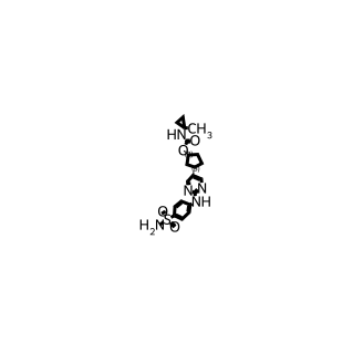 CC1(NC(=O)O[C@@H]2CC[C@H](c3cnc(Nc4ccc(S(N)(=O)=O)cc4)nc3)C2)CC1